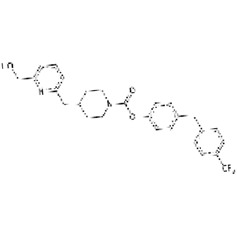 O=C(Oc1ccc(Cc2ccc(C(F)(F)F)cc2)cc1)N1CCC(Cc2cccc(CO)n2)CC1